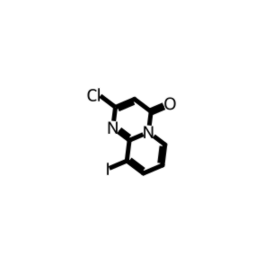 O=c1cc(Cl)nc2c(I)cccn12